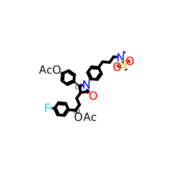 CC(=O)Oc1ccc([C@@H]2C(CC[C@H](OC(C)=O)c3ccc(F)cc3)C(=O)N2c2ccc(CCCN(C)S(C)(=O)=O)cc2)cc1